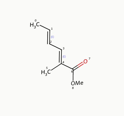 C/C=C/C=C(\C)C(=O)OC